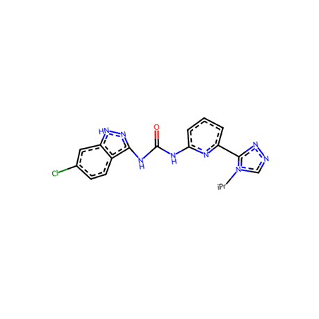 CC(C)n1cnnc1-c1cccc(NC(=O)Nc2n[nH]c3cc(Cl)ccc23)n1